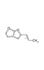 C/C=C/c1cc2ccoc2o1